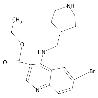 CCOC(=O)c1cnc2ccc(Br)cc2c1NCC1CCNCC1